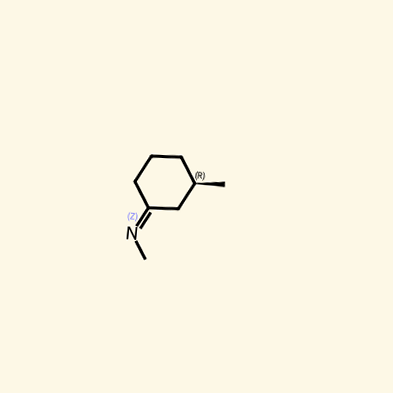 C/N=C1/CCC[C@@H](C)C1